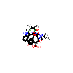 CC(C)C(C)C(=O)N[C@@H]1Cc2ccc(O)cc2[C@@]23c4ccc(cc4OC2O)-c2cccc4[nH]c(Cl)c(c24)-c2oc(nc2Cl)-c2nc(oc23)[C@@H](C(C)C)NC1=O